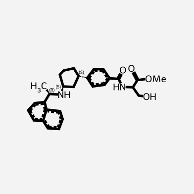 COC(=O)C(CO)NC(=O)c1ccc([C@H]2CCC[C@H](N[C@H](C)c3cccc4ccccc34)C2)cc1